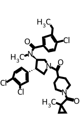 CCc1cc(C(=O)N(C)[C@H]2CN(C(=O)C3CCN(C(=O)C4(C)CC4)CC3)C[C@@H]2c2ccc(Cl)c(Cl)c2)ccc1Cl